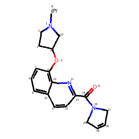 CC(C)N1CCC(Oc2cccc3ccc(C(=O)N4CC=CC4)nc23)C1